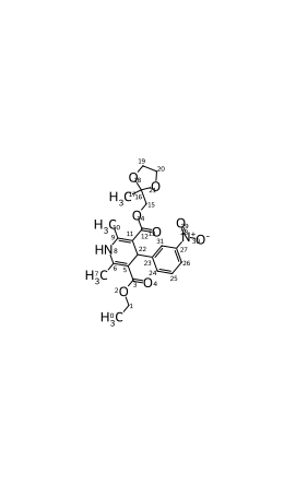 CCOC(=O)C1=C(C)NC(C)=C(C(=O)OCC2(C)OCCO2)C1c1cccc([N+](=O)[O-])c1